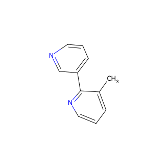 Cc1cccnc1-c1cccnc1